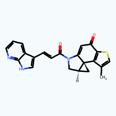 Cc1csc2c1[C@]13C[C@H]1CN(C(=O)C=Cc1c[nH]c4ncccc14)C3=CC2=O